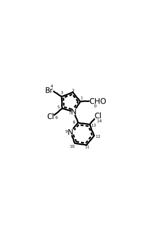 O=Cc1cc(Br)c(Cl)n1-c1ncccc1Cl